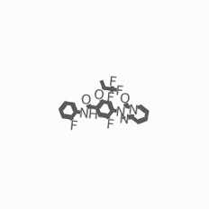 CC(Oc1cc(-n2nc3ccccn3c2=O)c(F)cc1C(=O)Nc1ccccc1F)C(F)(F)F